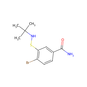 CC(C)(C)NSc1cc(C(N)=O)ccc1Br